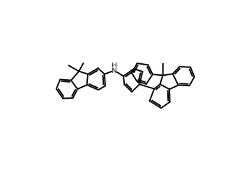 CC1(C)c2ccccc2-c2ccc(Nc3ccc(-c4cccc5c4C(C)(c4ccccc4)c4ccccc4-5)cc3)cc21